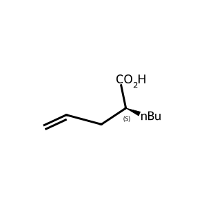 C=CC[C@H](CCCC)C(=O)O